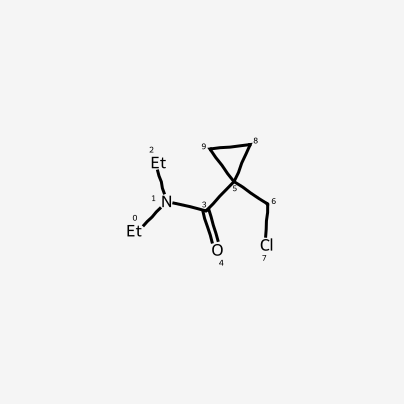 CCN(CC)C(=O)C1(CCl)CC1